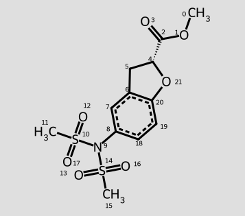 COC(=O)[C@H]1Cc2cc(N(S(C)(=O)=O)S(C)(=O)=O)ccc2O1